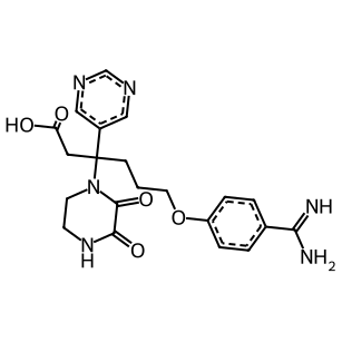 N=C(N)c1ccc(OCCCC(CC(=O)O)(c2cncnc2)N2CCNC(=O)C2=O)cc1